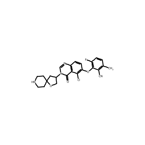 Cc1ccc(F)c(Oc2ccc3ncn(C4COC5(CCNCC5)C4)c(=O)c3c2Cl)c1C#N